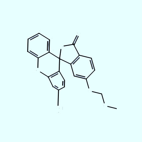 COCOc1ccc2c(c1)C1(OC2=O)c2ccccc2Oc2cc(O)ccc21